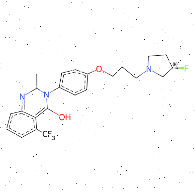 CC1N=c2cccc(C(F)(F)F)c2=C(O)N1c1ccc(OCCCN2CC[C@@H](F)C2)cc1